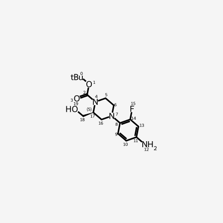 CC(C)(C)OC(=O)N1CCN(c2ccc(N)cc2F)C[C@H]1CO